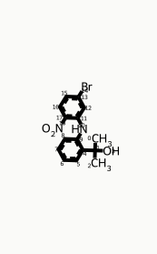 CC(C)(O)c1ccccc1Nc1cc(Br)ccc1[N+](=O)[O-]